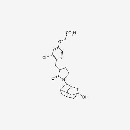 O=C(O)COc1ccc(CC2CCN(C3C4CC5CC3CC(O)(C5)C4)C2=O)c(Cl)c1